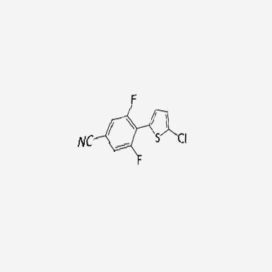 N#Cc1cc(F)c(-c2ccc(Cl)s2)c(F)c1